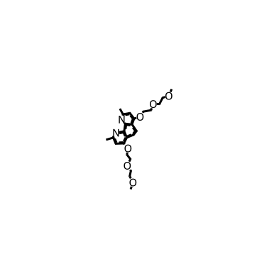 COCCOCCOc1cc(C)nc2c1ccc1c(OCCOCCOC)cc(C)nc12